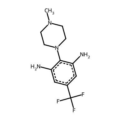 CN1CCN(c2c(N)cc(C(F)(F)F)cc2N)CC1